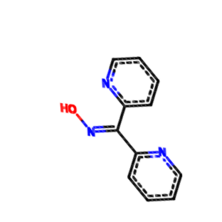 ON=C(c1ccccn1)c1ccccn1